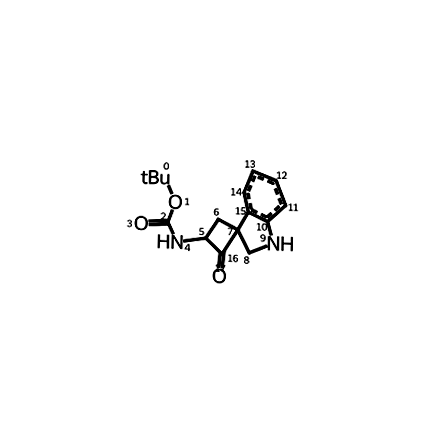 CC(C)(C)OC(=O)NC1CC2(CNc3ccccc32)C1=O